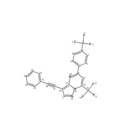 FC(F)(F)c1ccc(-c2cc(C(F)(F)F)n3ncc(C#Cc4ccccc4)c3n2)cc1